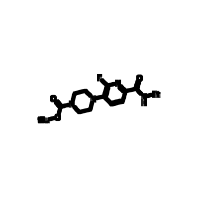 CCNC(=O)c1ccc(N2CCN(C(=O)OC(C)(C)C)CC2)c(F)n1